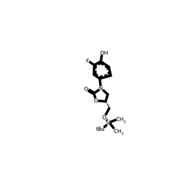 CC(C)(C)[Si](C)(C)OC[C@H]1CN(c2ccc(O)c(F)c2)C(=O)O1